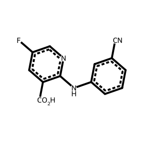 N#Cc1cccc(Nc2ncc(F)cc2C(=O)O)c1